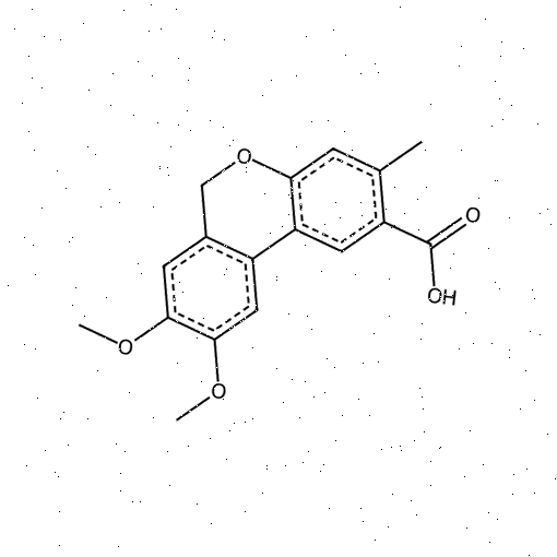 COc1cc2c(cc1OC)-c1cc(C(=O)O)c(C)cc1OC2